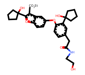 CCOC(=O)c1c(C2(O)CCCC2)oc2ccc(Oc3ccc(CC(=O)NCCO)cc3C3(O)CCCC3)cc12